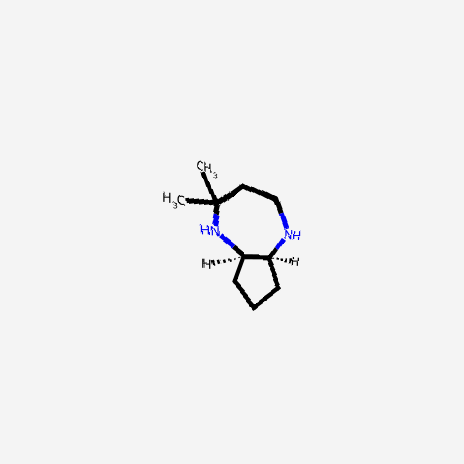 CC1(C)CCN[C@H]2CCC[C@H]2N1